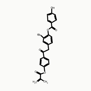 C=C(C)C(=O)Oc1ccc(C(=O)Cc2ccc(OC(=O)c3ccc(O)cc3)c(C(C)(C)C)c2)cc1